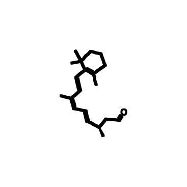 CC1=C(/C=C/C(C)=C\C=C\[C@H](C)CC=O)C(C)(C)CCC1